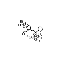 C=CC[C@@H]1C(CC[C@](C)(O[Si](C)(C)C(C)(C)C)C2CCCCC2)=CC[C@@H]1O[Si](CC)(CC)CC